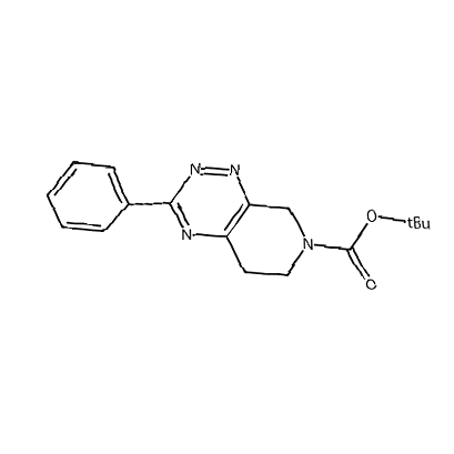 CC(C)(C)OC(=O)N1CCc2nc(-c3ccccc3)nnc2C1